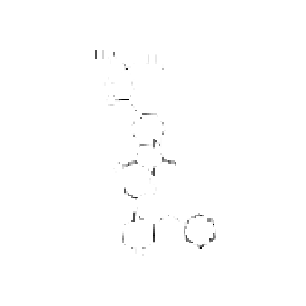 CC(C)(C)OC(=O)N1CCN2C(=O)N(OC(=O)N3CCOCC3Cc3ccccc3)C(=O)C2C1